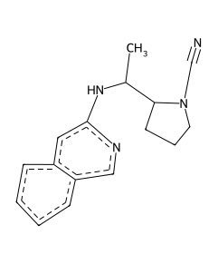 CC(Nc1cc2ccccc2cn1)C1CCCN1C#N